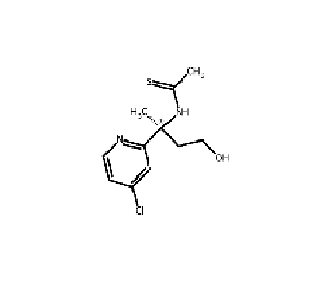 CC(=S)N[C@@](C)(CCO)c1cc(Cl)ccn1